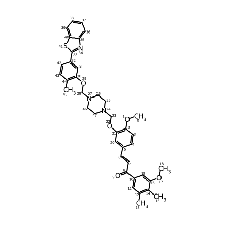 COc1ccc(/C=C/C(=O)c2cc(C)c(C)c(OC)c2)cc1OCN1CCN(COc2cc(-c3nc4ccccc4s3)ccc2C)CC1